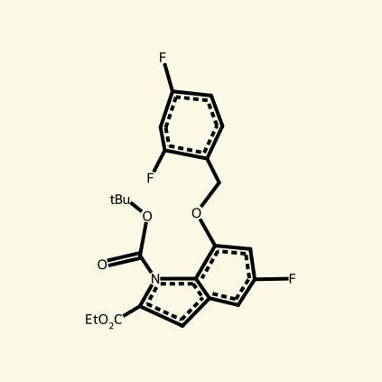 CCOC(=O)c1cc2cc(F)cc(OCc3ccc(F)cc3F)c2n1C(=O)OC(C)(C)C